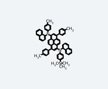 Cc1ccc(-c2cc(N(c3ccc(C)cc3)c3cccc4ccccc34)c3ccc4c(-c5ccc(C)cc5)cc(N(c5ccc([Si](C)(C)C)cc5)c5cccc6ccccc56)c5ccc2c3c45)cc1